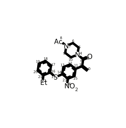 C=C(C(=O)N1CCN(C(C)=O)CC1)c1ccc(Sc2ccccc2CC)c([N+](=O)[O-])c1